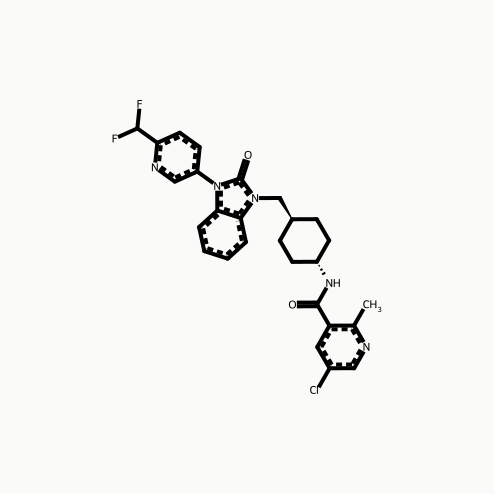 Cc1ncc(Cl)cc1C(=O)N[C@H]1CC[C@H](Cn2c(=O)n(-c3ccc(C(F)F)nc3)c3ccccc32)CC1